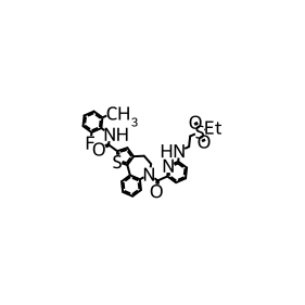 CCS(=O)(=O)CCNc1cccc(C(=O)N2CCc3cc(C(=O)Nc4c(C)cccc4F)sc3-c3ccccc32)n1